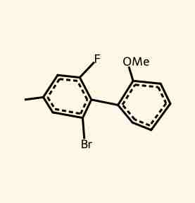 COc1ccccc1-c1c(F)cc(C)cc1Br